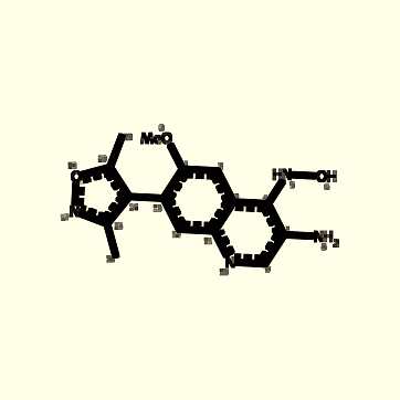 COc1cc2c(NO)c(N)cnc2cc1-c1c(C)noc1C